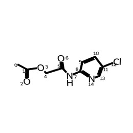 CC(=O)OCC(=O)Nc1ccc(Cl)cn1